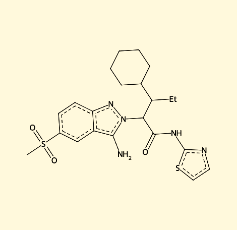 CCC(C1CCCCC1)C(C(=O)Nc1nccs1)n1nc2ccc(S(C)(=O)=O)cc2c1N